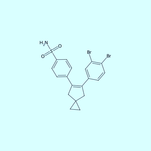 NS(=O)(=O)c1ccc(C2=C(c3ccc(Br)c(Br)c3)CC3(CC3)C2)cc1